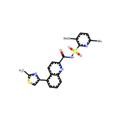 COc1ccc(C(C)(C)C)nc1S(=O)(=O)NC(=O)c1ccc2c(-c3csc(C)n3)cccc2n1